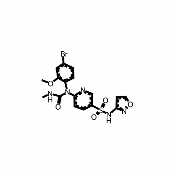 CNC(=O)N(c1ccc(S(=O)(=O)Nc2ccon2)cn1)c1ccc(Br)cc1OC